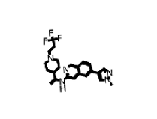 C=C(Nc1cc2cc(-c3cnn(C)c3)ccc2cn1)C1CCN(CCC(F)(F)F)CC1